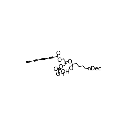 C#CC#CC#CC#CC(=O)OC[C@H](COP(=O)(O)O)OC(=O)CCCCCCCCCCCCCC